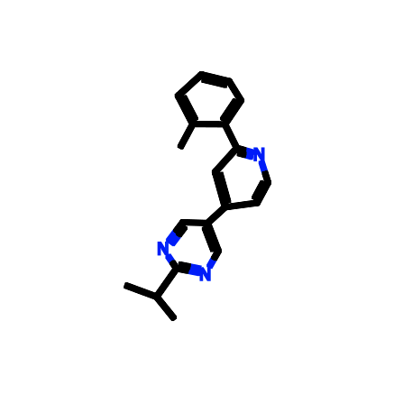 Cc1ccccc1-c1cc(-c2cnc(C(C)C)nc2)ccn1